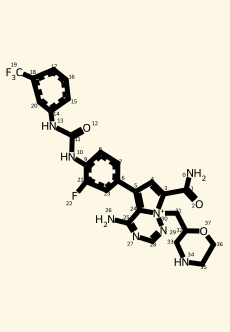 NC(=O)C1=CC(c2ccc(NC(=O)Nc3cccc(C(F)(F)F)c3)c(F)c2)=C2C(N)=NC=N[N+]12CC1CNCCO1